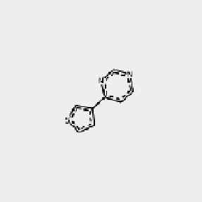 [c]1cc(-c2ccsc2)ncn1